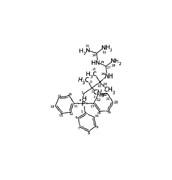 CC(C)(C[PH](c1ccccc1)(c1ccccc1)c1ccccc1)C(C)(C)NC(N)NC(N)N